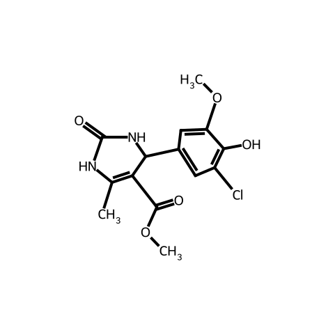 COC(=O)C1=C(C)NC(=O)NC1c1cc(Cl)c(O)c(OC)c1